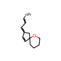 CCCC=CC=C1C=CC2(CCCCO2)C1